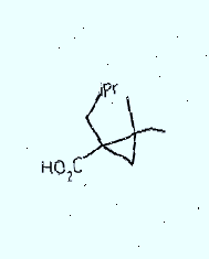 CC(C)CC1(C(=O)O)CC1(C)C